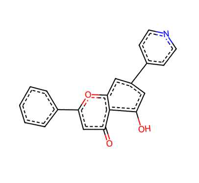 O=c1cc(-c2ccccc2)oc2cc(-c3ccncc3)cc(O)c12